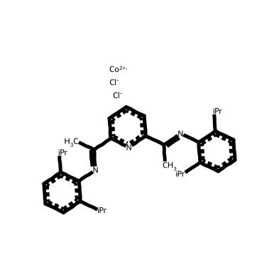 CC(=Nc1c(C(C)C)cccc1C(C)C)c1cccc(C(C)=Nc2c(C(C)C)cccc2C(C)C)n1.[Cl-].[Cl-].[Co+2]